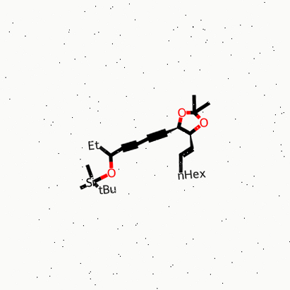 CCCCCC/C=C/[C@@H]1OC(C)(C)O[C@@H]1C#CC#CC(CC)O[Si](C)(C)C(C)(C)C